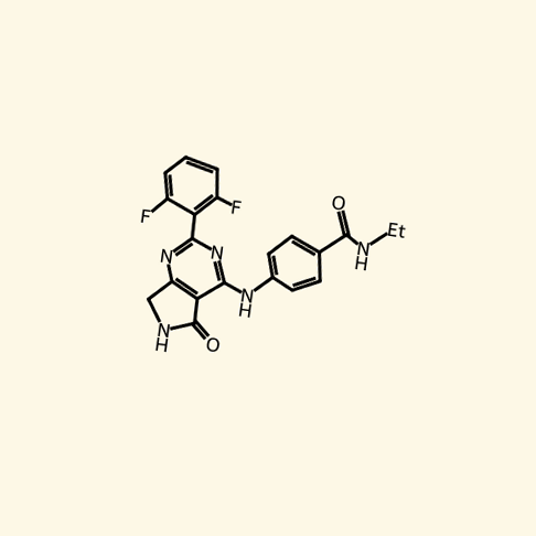 CCNC(=O)c1ccc(Nc2nc(-c3c(F)cccc3F)nc3c2C(=O)NC3)cc1